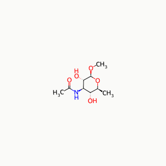 CO[C@H]1O[C@@H](C)[C@H](O)[C@@H](NC(C)=O)[C@@H]1O